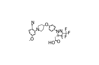 COc1ccc(C#N)c(N2CCC(Oc3ccc(N4N=C(C(F)(F)F)[C@@H](C)[C@@H]4CC(=O)O)cc3)CC2)c1